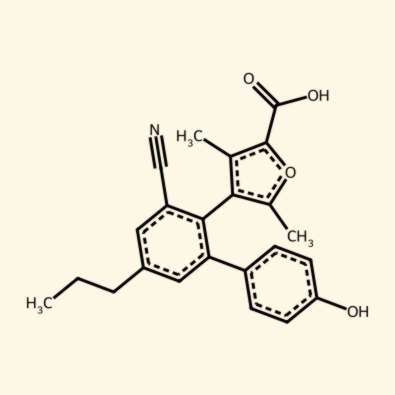 CCCc1cc(C#N)c(-c2c(C)oc(C(=O)O)c2C)c(-c2ccc(O)cc2)c1